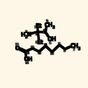 CCC(N)(CC)C(C)O.CCCCCCCC(=O)O